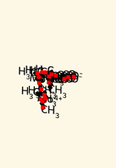 CCCCC(CC)[CH2][Mo+4][CH2]C(CC)CCCC.CCCCC(CC)[CH2][Mo+4][CH2]C(CC)CCCC.CCCCC(CC)[CH2][Mo+4][CH2]C(CC)CCCC.O=P([O-])([O-])[O-].O=P([O-])([O-])[O-].O=P([O-])([O-])[O-].O=P([O-])([O-])[O-]